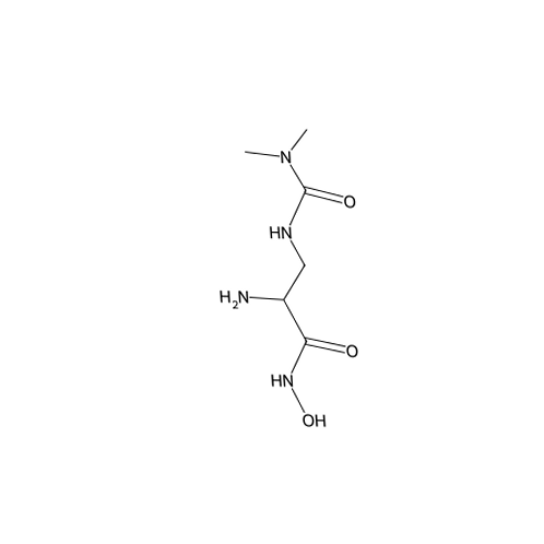 CN(C)C(=O)NCC(N)C(=O)NO